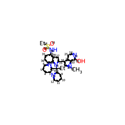 CCC(c1ccccn1)(c1ccccn1)n1c(-c2cn(C)c3c(O)nccc23)cc2c(NS(=O)(=O)CC)cccc21